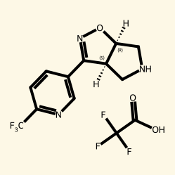 FC(F)(F)c1ccc(C2=NO[C@H]3CNC[C@@H]23)cn1.O=C(O)C(F)(F)F